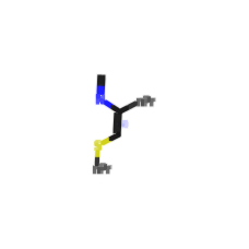 C=N/C(=C\SCCC)CCC